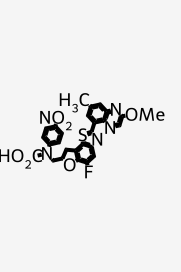 COc1cnc2c(-c3nc4cc(F)c5c(c4s3)CC(CN(C(=O)O)c3ccc([N+](=O)[O-])cc3)O5)cc(C)cc2n1